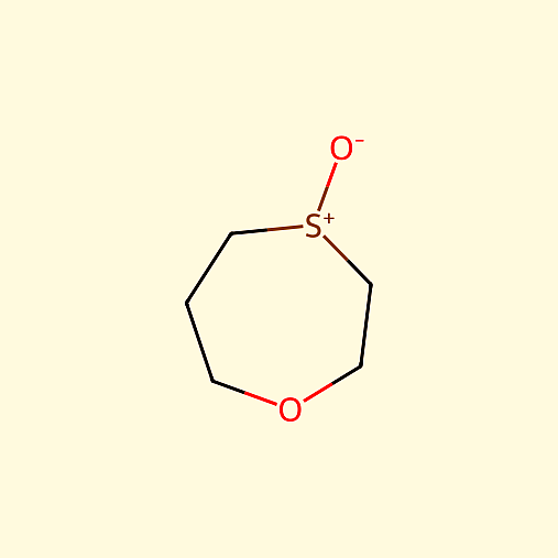 [O-][S+]1CCCOCC1